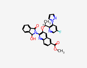 COC(=O)c1ccc2nc(N3C(=O)c4ccccc4C3O)c(O[C@@H](C)c3ncc(F)cc3-n3cccn3)cc2c1